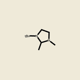 CC1N(C)CCN1C(C)(C)C